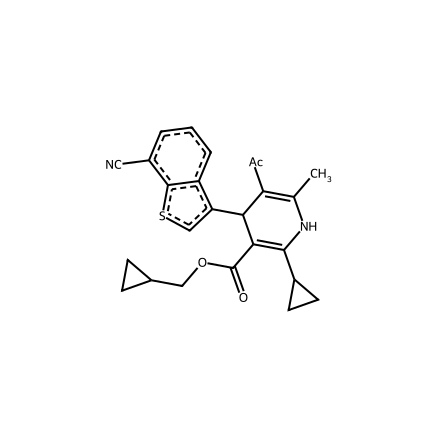 CC(=O)C1=C(C)NC(C2CC2)=C(C(=O)OCC2CC2)C1c1csc2c(C#N)cccc12